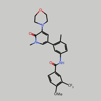 COc1ccc(C(=O)Nc2ccc(C)c(-c3cc(N4CCOCC4)c(=O)n(C)c3)c2)cc1C(F)(F)F